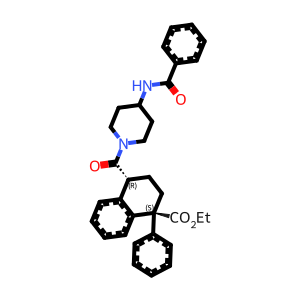 CCOC(=O)[C@]1(c2ccccc2)CC[C@@H](C(=O)N2CCC(NC(=O)c3ccccc3)CC2)c2ccccc21